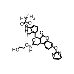 CNS(=O)(=O)Nc1cccc(Cc2c(CC(=O)NOCCO)c3ccc(Oc4ncccn4)cc3oc2=O)c1F